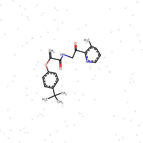 C=C(Oc1ccc(C(C)(C)C)cc1)C(=O)NCC(=O)c1ncccc1C